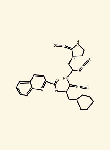 O=C=CC(C[C@@H]1CCNC1=C=O)NC(=C=O)C(CC1CCCCC1)NC(=O)c1ccc2ccccc2n1